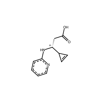 O=C(O)C[C@@H](Nc1ccccn1)C1C=C1